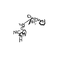 N#Cc1c[nH]c2nccc(Oc3ccc(C[C@H](N)C(=O)N4CCN(Cc5ccccn5)CC4)cc3F)c12